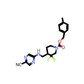 Cc1ccc(COC(=O)N2CCC(CNc3cnc(C#N)cn3)C(F)(F)C2)cc1